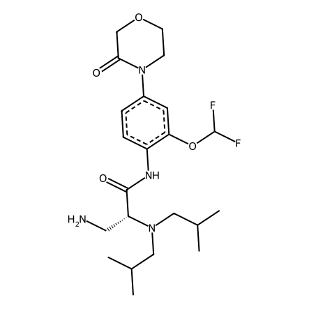 CC(C)CN(CC(C)C)[C@H](CN)C(=O)Nc1ccc(N2CCOCC2=O)cc1OC(F)F